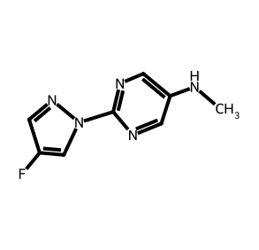 CNc1cnc(-n2cc(F)cn2)nc1